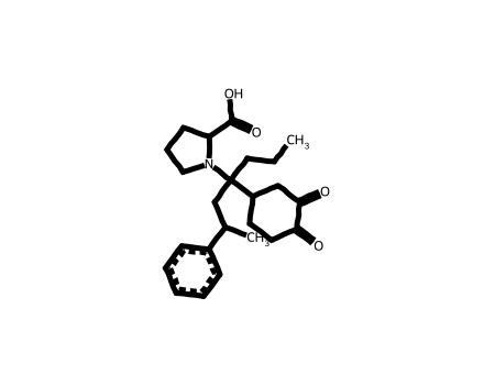 CCCC(CC(C)c1ccccc1)(C1CCC(=O)C(=O)C1)N1CCCC1C(=O)O